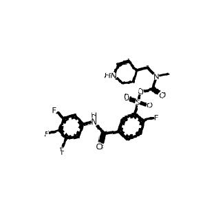 CN(CC1CCNCC1)C(=O)OS(=O)(=O)c1cc(C(=O)Nc2cc(F)c(F)c(F)c2)ccc1F